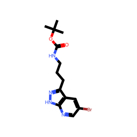 CC(C)(C)OC(=O)NCCCc1n[nH]c2ncc(Br)cc12